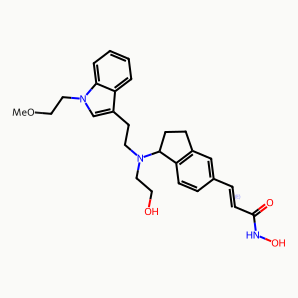 COCCn1cc(CCN(CCO)C2CCc3cc(/C=C/C(=O)NO)ccc32)c2ccccc21